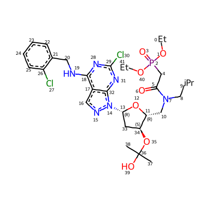 CCOP(=O)(CC(=O)N(CC(C)C)C[C@H]1O[C@@H](n2ncc3c(NCc4ccccc4Cl)nc(Cl)nc32)C[C@@H]1OC(C)(C)O)OCC